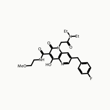 CCN(CC)C(=O)Cn1c(=O)c(C(=O)NCCOC)c(O)c2ncc(Cc3ccc(F)cc3)cc21